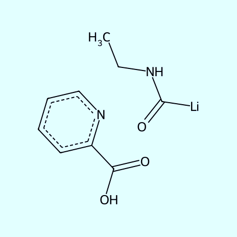 O=C(O)c1ccccn1.[Li][C](=O)NCC